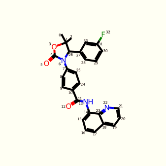 CC1(C)OC(=O)N(c2ccc(C(=O)Nc3cccc4cccnc34)cc2)C1c1cccc(F)c1